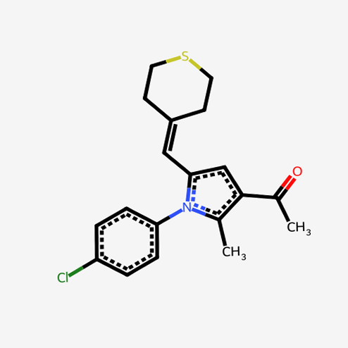 CC(=O)c1cc(C=C2CCSCC2)n(-c2ccc(Cl)cc2)c1C